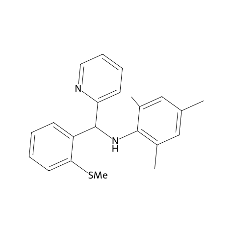 CSc1ccccc1C(Nc1c(C)cc(C)cc1C)c1ccccn1